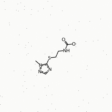 Cn1ncnc1SCCNC([O])=O